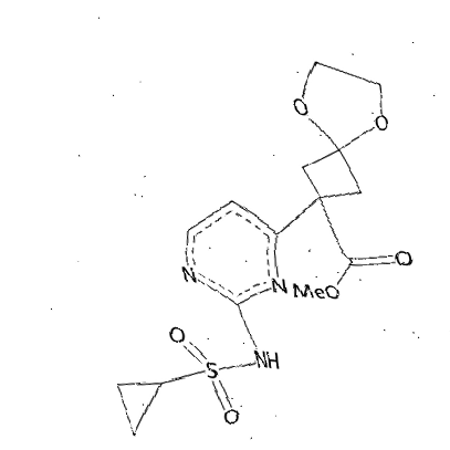 COC(=O)C1(c2ccnc(NS(=O)(=O)C3CC3)n2)CC2(C1)OCCO2